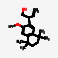 C=CC(CO)c1cc2c(cc1OCCC)C(C)(C)CCC2(C)C